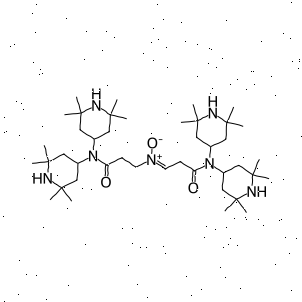 CC1(C)CC(N(C(=O)CC=[N+]([O-])CCC(=O)N(C2CC(C)(C)NC(C)(C)C2)C2CC(C)(C)NC(C)(C)C2)C2CC(C)(C)NC(C)(C)C2)CC(C)(C)N1